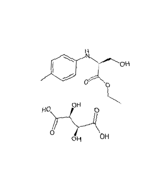 CCOC(=O)[C@H](CO)Nc1ccc(C)cc1.O=C(O)[C@@H](O)[C@H](O)C(=O)O